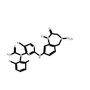 CCOC(=O)N1CC(=O)N(CC)c2cc(Nc3ncc(Cl)c(N(C(N)=O)c4c(C)cccc4F)n3)ccc2C1